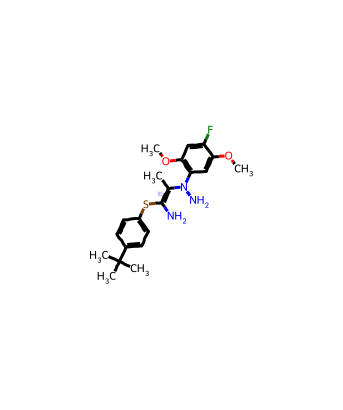 COc1cc(N(N)/C(C)=C(\N)Sc2ccc(C(C)(C)C)cc2)c(OC)cc1F